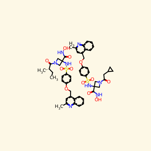 CC[C@H](C)C(=O)N1CC(NS(=O)(=O)c2ccc(OCc3cc(C)nc4ccccc34)cc2)(C(=O)NO)C1.Cc1cc(COc2ccc(S(=O)(=O)NC3(C(=O)NO)CN(C(=O)CC4CC4)C3)cc2)c2ccccc2n1